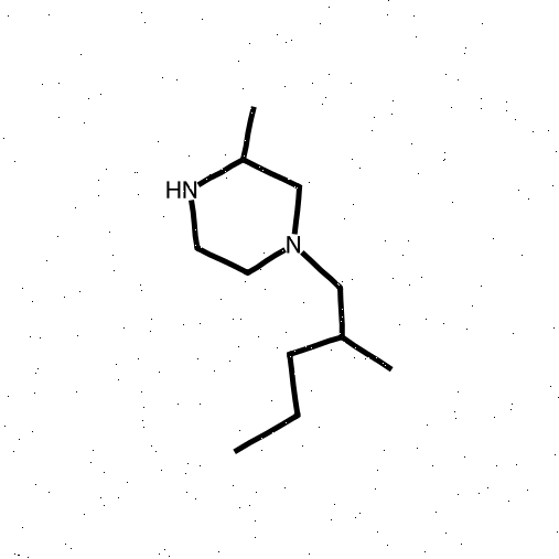 CCCC(C)CN1CCNC(C)C1